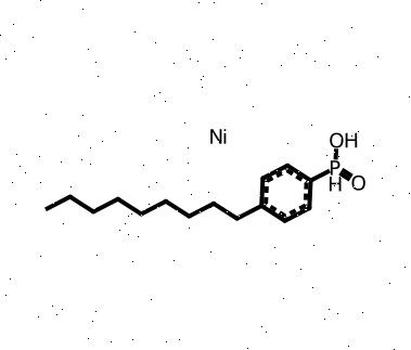 CCCCCCCCCc1ccc([PH](=O)O)cc1.[Ni]